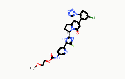 COCCOC(=O)Nc1ccc(-c2[nH]c([C@@H]3CCc4cc(-c5cc(Cl)ccc5-n5cnnn5)cc(=O)n43)nc2F)nc1